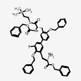 C[Si](C)(C)CCOC(=O)[C@H](Cc1cc(-c2cc(F)c(OCc3ccccc3)c(C[C@H](N)C(=O)OCc3ccccc3)c2)ccc1OCc1ccccc1)NC(=O)OCc1ccccc1